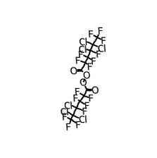 O=C(OOC(=O)C(F)(F)C(F)(F)C(F)(Cl)C(Cl)(Cl)C(F)(F)F)C(F)(F)C(F)(F)C(F)(Cl)C(Cl)(Cl)C(F)(F)F